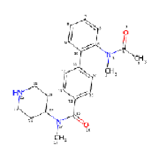 CC(=O)N(C)c1[c]cccc1-c1ccc(C(=O)N(C)C2CCNCC2)cc1